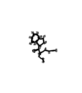 CCCN(CCC)C(=O)C1CCc2ccccc21